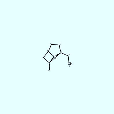 CC12CC3CCC1(CO)N32